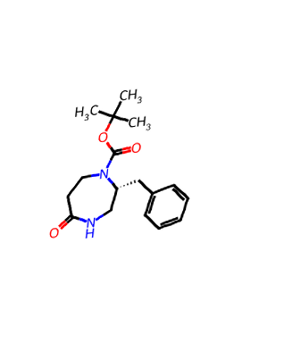 CC(C)(C)OC(=O)N1CCC(=O)NC[C@H]1Cc1ccccc1